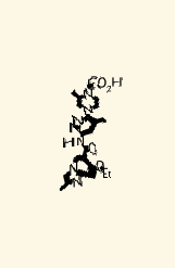 CCOc1cc2nc(C)cn2cc1C(=O)Nc1cc(C)c(N2CCN(C(=O)O)C(C)C2)nn1